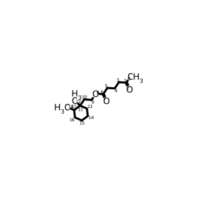 CC(=O)CCCC(=O)OCCC1(C)CCCCC1C